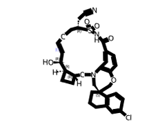 N#CC[C@H]1CC/C=C/[C@H](O)[C@@H]2CC[C@H]2CN2C[C@@]3(CCCc4cc(Cl)ccc43)COc3ccc(cc32)C(=O)NS1(=O)=O